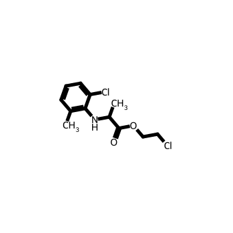 Cc1cccc(Cl)c1NC(C)C(=O)OCCCl